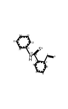 C=Cc1ccccc1C(=S)Nc1ccccc1